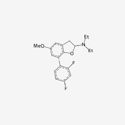 CCN(CC)C1Cc2cc(OC)cc(-c3ccc(F)cc3F)c2O1